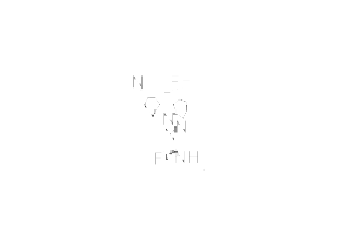 N#Cc1ccc(Cn2c(N3CCC(F)(F)[C@H](N)C3)nc3ccc(C(F)(F)F)cc32)nc1